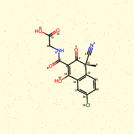 C[C@]1(C#N)C(=O)C(C(=O)NCC(=O)O)=C(O)c2cc(Cl)ccc21